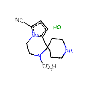 Cl.N#Cc1ccc2n1CCN(C(=O)O)C21CCNCC1